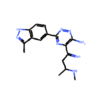 CNC(C)CC(=N)c1nc(-c2ccc3[nH]nc(C)c3c2)nnc1N